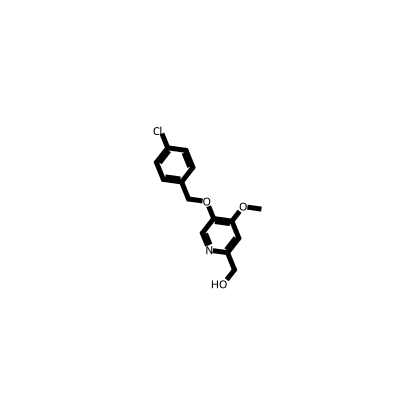 COc1cc(CO)ncc1OCc1ccc(Cl)cc1